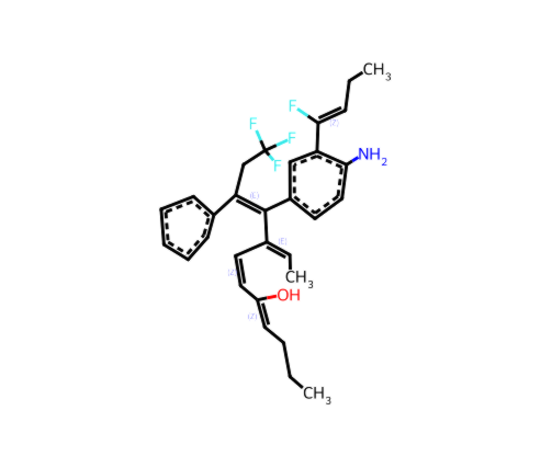 C/C=C(\C=C/C(O)=C/CCC)C(=C(/CC(F)(F)F)c1ccccc1)/c1ccc(N)c(/C(F)=C/CC)c1